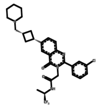 C[C@@H](NC(=O)Cn1c(-c2cccc(Cl)c2)nc2ccc([C@H]3C[C@@H](CN4CCCCC4)C3)cc2c1=O)C(F)(F)F